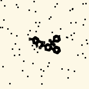 O=C(Nc1ccc(F)cc1F)C1CCC(c2ccccc2)N(S(=O)(=O)c2ccccc2)C1